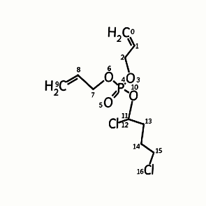 C=CCOP(=O)(OCC=C)OC(Cl)CCCCl